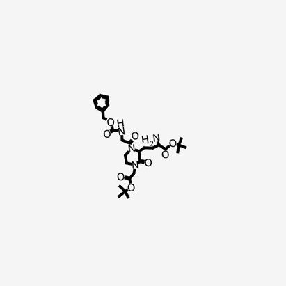 CC(C)(C)OC(=O)CN1CCN(C(=O)CNC(=O)OCc2ccccc2)C(CCC(N)C(=O)OC(C)(C)C)C1=O